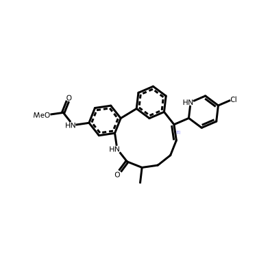 COC(=O)Nc1ccc2c(c1)NC(=O)C(C)CC/C=C(/C1C=CC(Cl)=CN1)c1cccc-2c1